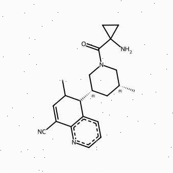 CC1C=C(C#N)c2ncccc2C1[C@H]1C[C@@H](C)CN(C(=O)C2(N)CC2)C1